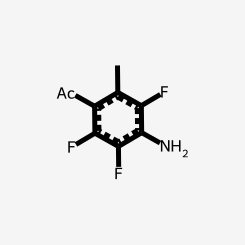 CC(=O)c1c(C)c(F)c(N)c(F)c1F